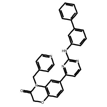 O=C1COc2ccc(-c3ccnc(Nc4cccc(-c5ccccc5)c4)n3)cc2N1Cc1ccncc1